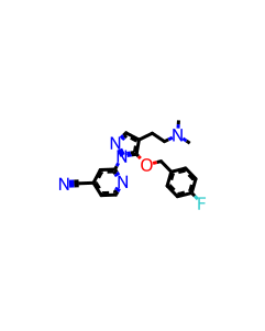 CN(C)CCc1cnn(-c2cc(C#N)ccn2)c1OCc1ccc(F)cc1